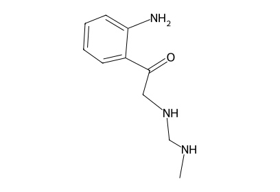 CNCNCC(=O)c1ccccc1N